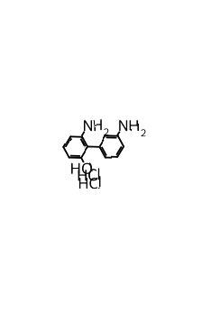 Cl.Cl.Nc1cccc(-c2c(N)cccc2O)c1